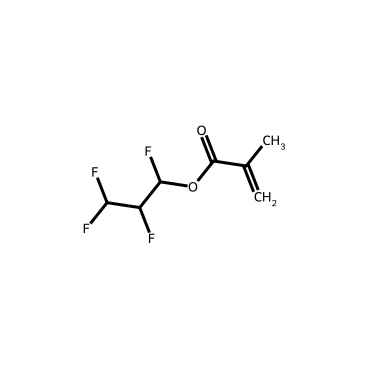 C=C(C)C(=O)OC(F)C(F)C(F)F